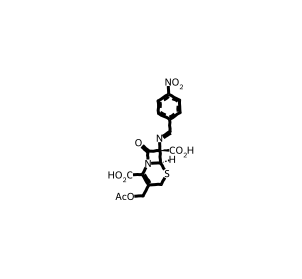 CC(=O)OCC1=C(C(=O)O)N2C(=O)[C@@](N=Cc3ccc([N+](=O)[O-])cc3)(C(=O)O)[C@H]2SC1